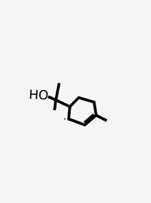 CC1=C[CH]C(C(C)(C)O)CC1